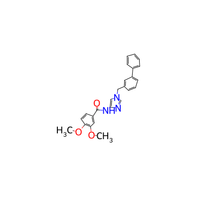 COc1ccc(C(=O)Nc2cn(Cc3cccc(-c4ccccc4)c3)cn2)cc1OC